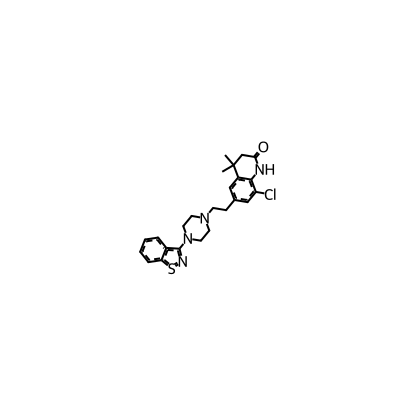 CC1(C)CC(=O)Nc2c(Cl)cc(CCN3CCN(c4nsc5ccccc45)CC3)cc21